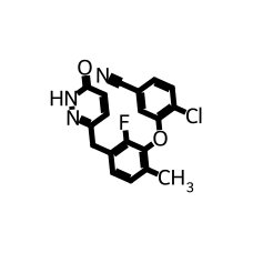 Cc1ccc(Cc2ccc(=O)[nH]n2)c(F)c1Oc1cc(C#N)ccc1Cl